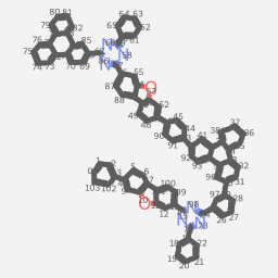 c1ccc(-c2ccc3c(c2)oc2cc(-c4nc(-c5ccccc5)nc(-c5cccc(-c6ccc7c8ccccc8c8cc(-c9ccc(-c%10ccc%11c(c%10)oc%10cc(-c%12nc(-c%13ccccc%13)nc(-c%13ccc%14c%15ccccc%15c%15ccccc%15c%14c%13)n%12)ccc%10%11)cc9)ccc8c7c6)c5)n4)ccc23)cc1